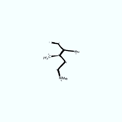 CCC(C)C(CI)[C@H](C)CCNC